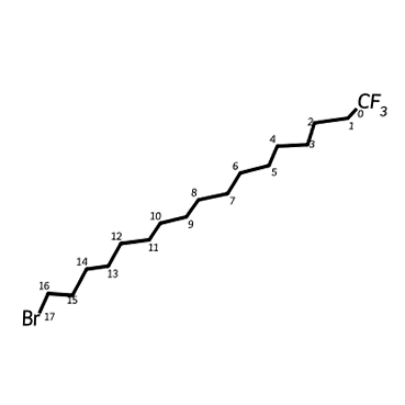 FC(F)(F)CCCCCCCCCCCCCCCCBr